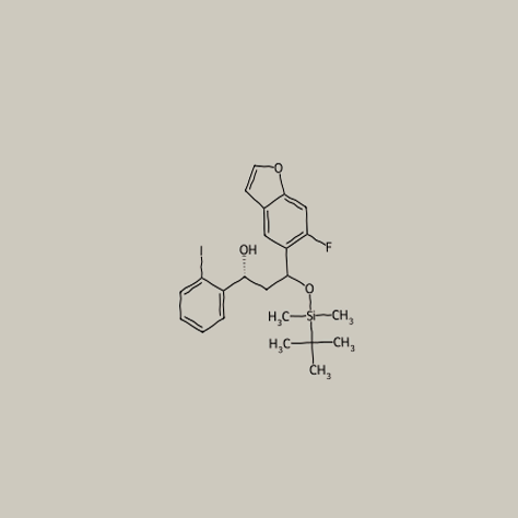 CC(C)(C)[Si](C)(C)OC(C[C@@H](O)c1ccccc1I)c1cc2ccoc2cc1F